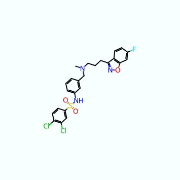 CN(CCCc1noc2cc(F)ccc12)Cc1cccc(NS(=O)(=O)c2ccc(Cl)c(Cl)c2)c1